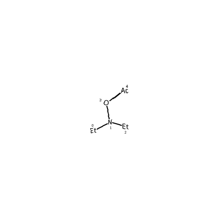 CCN(CC)OC(C)=O